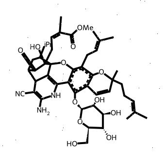 COC(=O)/C(C)=C\CC1(O)C(=O)C2CC(C(C)C)C13Oc1c(CC=C(C)C)c4c(c(O[C@@H]5O[C@H](CO)[C@@H](O)[C@H](O)[C@H]5O)c1C1=C3C2C(C#N)=C(N)N1)C=CC(C)(CCC=C(C)C)O4